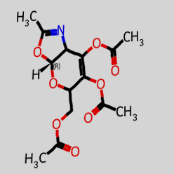 CC(=O)OCC1O[C@@H]2OC(C)=NC2C(OC(C)=O)=C1OC(C)=O